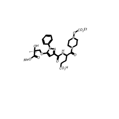 CCOC(=O)ON1CCN(C(=O)C(CCC(=O)O)NC(=O)c2cc(OC[C@](C)(O)C(=O)OC)n(-c3ccccc3)n2)CC1